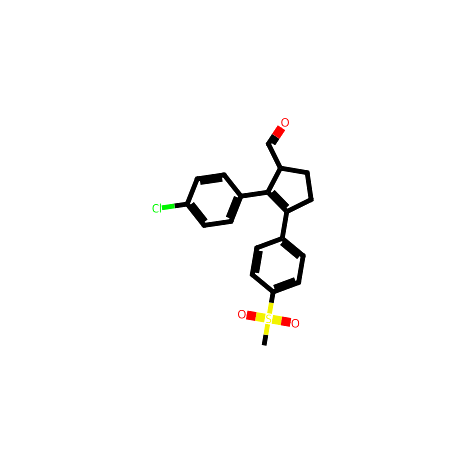 CS(=O)(=O)c1ccc(C2=C(c3ccc(Cl)cc3)C(C=O)CC2)cc1